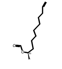 [CH2][C@H](CCCCCCCC=C)OC=O